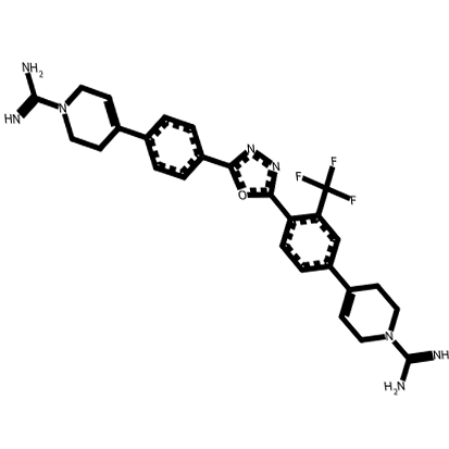 N=C(N)N1CC=C(c2ccc(-c3nnc(-c4ccc(C5=CCN(C(=N)N)CC5)cc4C(F)(F)F)o3)cc2)CC1